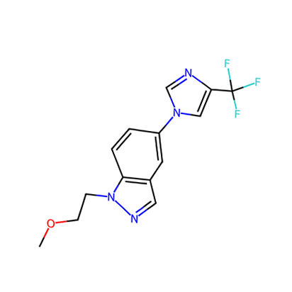 COCCn1ncc2cc(-n3cnc(C(F)(F)F)c3)ccc21